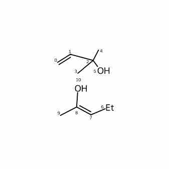 C=CC(C)(C)O.CCC=C(C)O